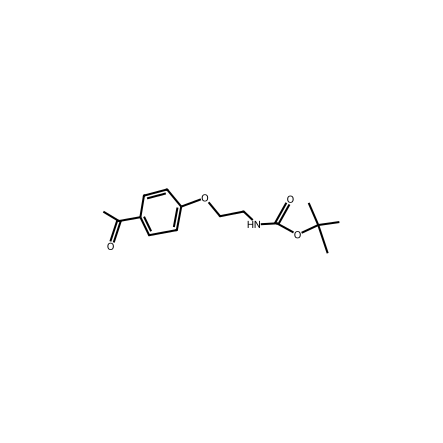 CC(=O)c1ccc(OCCNC(=O)OC(C)(C)C)cc1